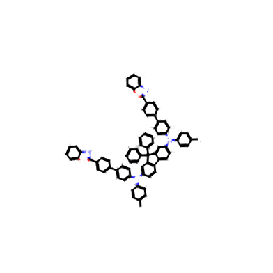 Cc1ccc(N(c2ccc(-c3ccc(-c4nc5ccccc5o4)cc3)cc2)c2ccc3c(c2)C(c2ccccc2)(c2ccccc2)c2cc(N(c4ccc(C)cc4)c4ccc(-c5ccc(-c6nc7ccccc7o6)cc5)cc4)ccc2-3)cc1